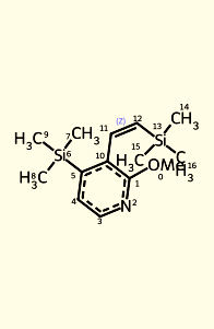 COc1nccc([Si](C)(C)C)c1/C=C\[Si](C)(C)C